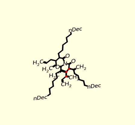 C=CCC(C=C)C(CCCCCCCCCCCCCCCC)C(=O)N(C(=O)C(CCCCCCCCCCCCCCCC)C(C=C)CC=C)C(=O)C(CCCCCCCCCCCCCCCC)C(C=C)CC=C